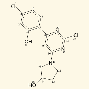 Oc1cc(Cl)ccc1-c1cc(N2CCC(O)C2)nc(Cl)n1